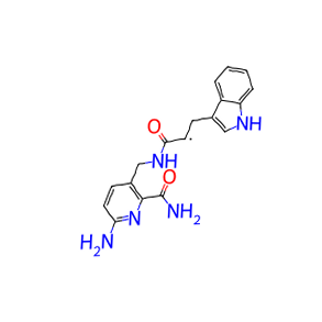 NC(=O)c1nc(N)ccc1CNC(=O)[CH]Cc1c[nH]c2ccccc12